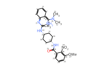 C=C(/N=C1/C=CC=C/C1=C(/N)N(C)C)N[C@H]1CC[C@@H](NC(=O)c2cccc(OC)c2[N+](=O)[O-])CC1